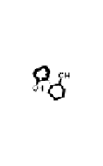 Oc1ccccc1[C@H]1CCCC[C@@H]1O